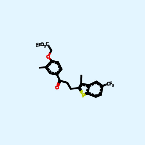 CCOC(=O)COc1ccc(C(=O)CCc2sc3ccc(C(F)(F)F)cc3c2C)cc1C